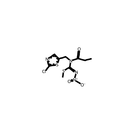 CCC(=O)N(Cc1cnc(Cl)s1)/C(=N/[N+](=O)[O-])SC